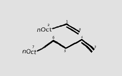 C=CCCCCCCCC.C=CCCCCCCCCCC